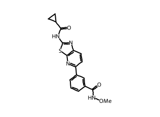 CONC(=O)c1cccc(-c2ccc3nc(NC(=O)C4CC4)sc3n2)c1